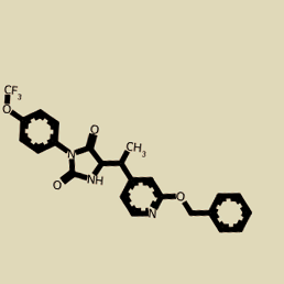 CC(c1ccnc(OCc2ccccc2)c1)C1NC(=O)N(c2ccc(OC(F)(F)F)cc2)C1=O